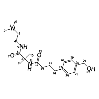 CN(C)CCNC(=O)C(C)(C)NC(=O)CCCc1ccc(CO)cc1